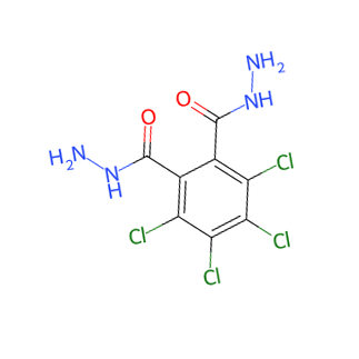 NNC(=O)c1c(Cl)c(Cl)c(Cl)c(Cl)c1C(=O)NN